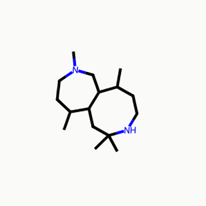 CC1CCNC(C)(C)CC2C(C)CCN(C)CC12